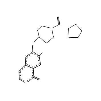 O=C([C@@H]1CCCN1)N1CCC(Oc2cc3cc[nH]c(=O)c3cc2Cl)CC1